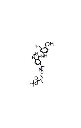 C/C(=N\OCCN(C)C(=O)OC(C)(C)C)c1ccc2ncnc(Nc3ccc(O)c(CI)c3)c2c1